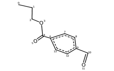 CCCOC(=O)c1ccc(C=O)cc1